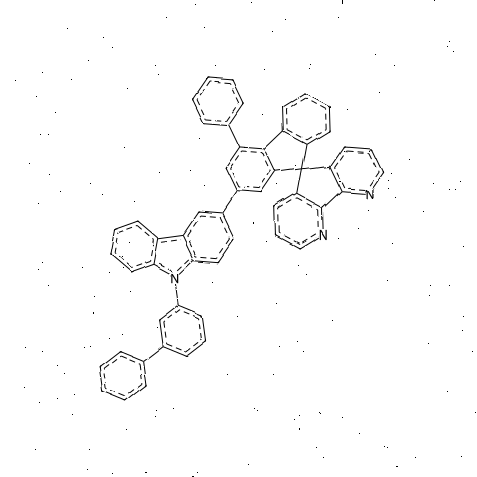 c1ccc(-c2cccc(-n3c4ccccc4c4cc(-c5cc(-c6ccccc6)c6c(c5)C5(c7ccccc7-6)c6cccnc6-c6ncccc65)ccc43)c2)cc1